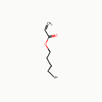 C=CC(=O)OCCCCC(C)C